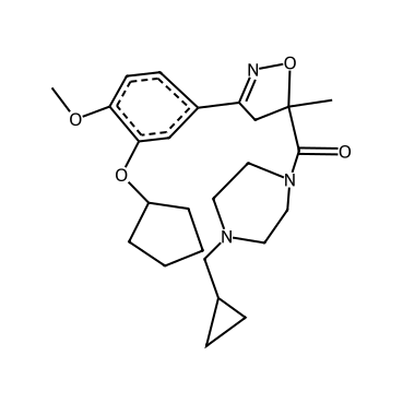 COc1ccc(C2=NOC(C)(C(=O)N3CCN(CC4CC4)CC3)C2)cc1OC1CCCC1